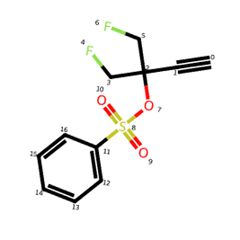 C#CC(CF)(CF)OS(=O)(=O)c1ccccc1